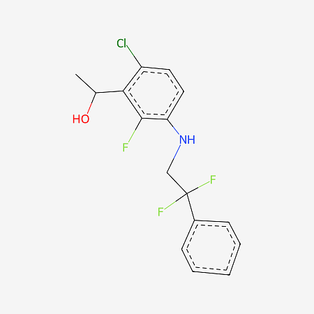 CC(O)c1c(Cl)ccc(NCC(F)(F)c2ccccc2)c1F